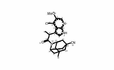 COc1cnc2[nH]cc(C(C)C(=O)N3C4CC5(C)CC3CC(C#N)(C4)C5)c2c1Cl